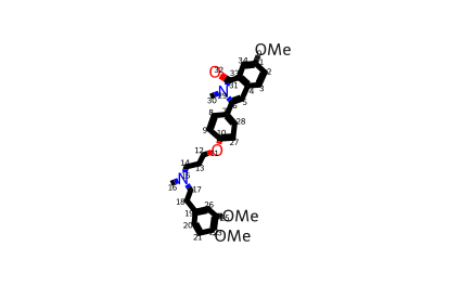 COc1ccc2cc(-c3ccc(OCCCN(C)CCc4ccc(OC)c(OC)c4)cc3)n(C)c(=O)c2c1